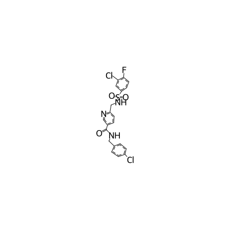 O=C(NCc1ccc(Cl)cc1)c1ccc(CNS(=O)(=O)c2ccc(F)c(Cl)c2)nc1